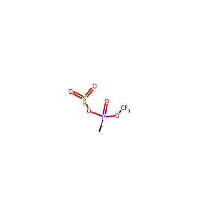 CP(=O)(O[SH](=O)=O)OC(F)(F)F